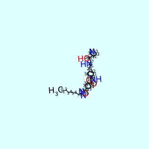 CCCCCCCCc1noc(-c2ccc(S(=O)(=O)Nc3ccc(CCNCC(O)c4cccnc4)cc3)cc2)n1